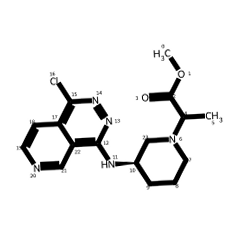 COC(=O)C(C)N1CCC[C@@H](Nc2nnc(Cl)c3ccncc23)C1